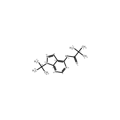 CC(C)(C)C(=O)Nc1ncnc2c1cnn2C(C)(C)C